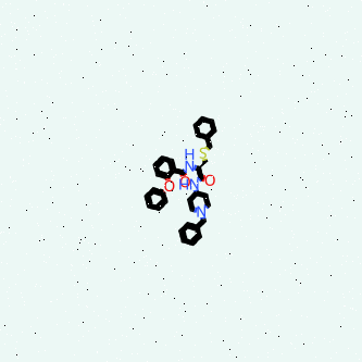 O=C(N[C@@H](CSCC1CCCCC1)C(=O)NC1CCN(Cc2ccccc2)CC1)c1ccccc1Oc1ccccc1